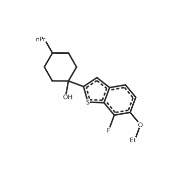 CCCC1CCC(O)(c2cc3ccc(OCC)c(F)c3s2)CC1